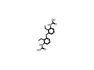 CCc1c(Cc2cccc(NC(=O)O)c2CC)cccc1NC(=O)O